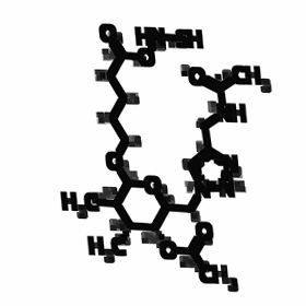 CC(=O)NCc1cn(CC2OC(OCCCCC(=O)ONS)C(C)[C@@H](C)[C@H]2OC(C)=O)nn1